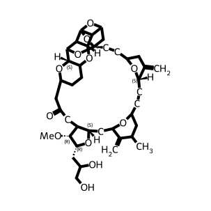 C=C1C(C)CC2CC[C@@H]3OC(CC[C@]45CC6OC7(O4)C6[C@@H]4OC6CCC(CC(=O)CC8[C@H](CC1O2)O[C@H](CC(O)CO)[C@@H]8OC)O[C@@H]6C(O5)C47)CC3=C